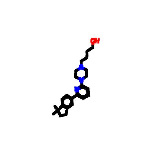 CC1(C)CCc2cc(-c3cccc(N4CCN(CCCCO)CC4)n3)ccc21